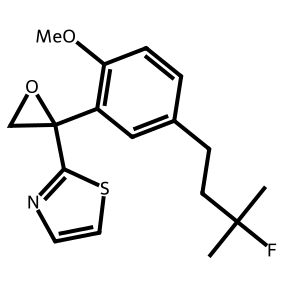 COc1ccc(CCC(C)(C)F)cc1C1(c2nccs2)CO1